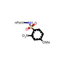 CCCCCNS(=O)(=O)c1ccc(OC)cc1[N+](=O)[O-]